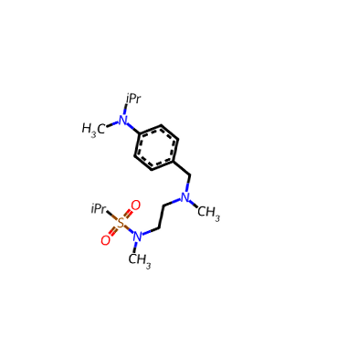 CC(C)N(C)c1ccc(CN(C)CCN(C)S(=O)(=O)C(C)C)cc1